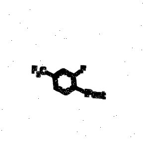 CCCC(C)c1ccc(C(F)(F)F)cc1F